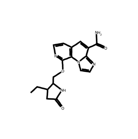 CCC1CC(=O)NC1COc1nccc2cc(C(N)=O)c3nccn3c12